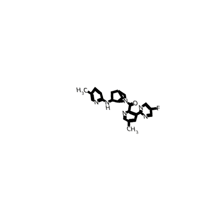 Cc1ccc(NC2CC3CC2N(C(=O)c2ncc(C)cc2-c2ncc(F)cn2)C3)nc1